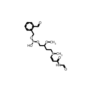 COC(CCN(C)/C=C\C(=O)NC=O)COP(O)OCc1ccccc1C=O